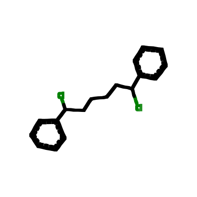 ClC(CCCCC(Cl)c1ccccc1)c1ccccc1